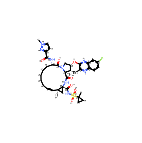 CCc1nc2ccc(F)cc2nc1O[C@@H]1C[C@H]2C(=O)N[C@]3(C(=O)NS(=O)(=O)C4(C)CC4)C[C@H]3C=CCCCCC[C@H](NC(=O)c3ccn(C)n3)C(=O)N2C1